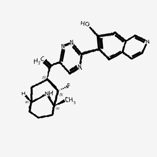 C=C(c1cnc(-c2cc3ccncc3cc2O)nn1)[C@@H]1C[C@H]2CCC[C@](C)(N2)[C@H]1F